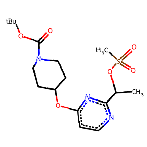 CC(OS(C)(=O)=O)c1nccc(OC2CCN(C(=O)OC(C)(C)C)CC2)n1